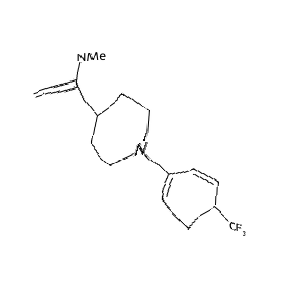 C=C(NC)C1CCN(C2=CCC(C(F)(F)F)C=C2)CC1